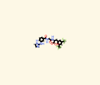 O=C(CNC(=O)c1cccc(NC2=NCCN2)c1)NC(Cc1cc(C(F)(F)F)cc(C(F)(F)F)c1)C(=O)O